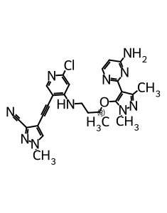 Cc1nn(C)c(O[C@H](C)CCNc2cc(Cl)ncc2C#Cc2cn(C)nc2C#N)c1-c1nccc(N)n1